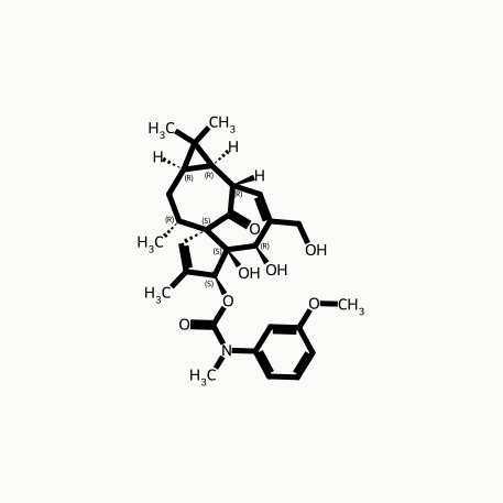 COc1cccc(N(C)C(=O)O[C@H]2C(C)=C[C@]34C(=O)[C@@H](C=C(CO)[C@@H](O)[C@]23O)[C@H]2[C@@H](C[C@H]4C)C2(C)C)c1